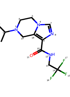 CC(C)N1CCn2cnc(C(=O)NCC(F)(F)F)c2C1